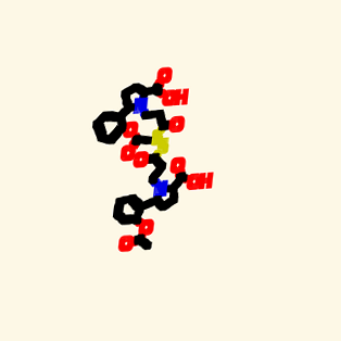 CC(=O)Oc1ccccc1C1CCC(C(=O)O)N1CCC(=O)SSC(=O)CCN1C(C(=O)O)CCC1c1ccccc1OC(C)=O